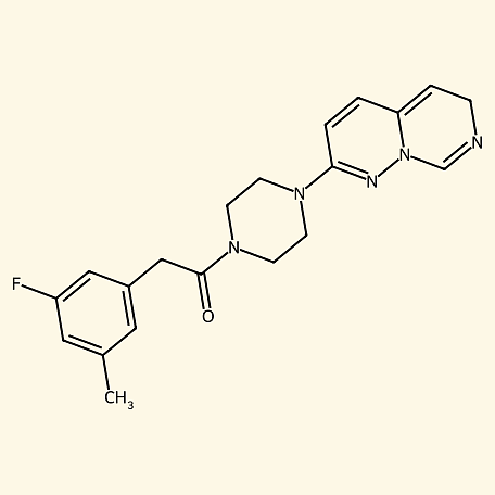 Cc1cc(F)cc(CC(=O)N2CCN(C3=NN4C=NCC=C4C=C3)CC2)c1